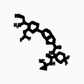 N#CC1(NC(=O)C2(NC(=O)c3cc4ccc(-c5ccc(N(N)C=N)c(OC(F)F)c5)cc4o3)CCC(F)(F)CC2)CC1